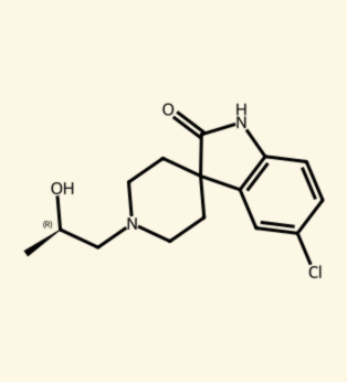 C[C@@H](O)CN1CCC2(CC1)C(=O)Nc1ccc(Cl)cc12